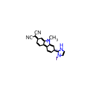 Cn1c2cc(=C(C#N)C#N)ccc2c2cc/c(=C3/NC=CN3I)cc21